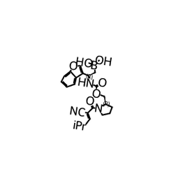 CC(C)C=C(C#N)C(=O)N1CCC[C@@H]1COC(=O)N[C@H](CB(O)O)c1coc2ccccc12